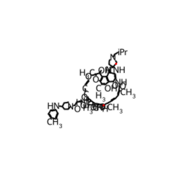 C/C1=C/C=C/C(C)[C@H](O)[C@@H](C)C(O)[C@@H](C)[C@H](OC(=O)CC(=O)N2CCC(Nc3ccc(C)cc3)CC2)CC/C=C/O[C@@]2(C)Oc3c(C)c(O)c4c(c3C2O)C2=NC3(CCN(CC(C)C)CC3)NC2=C(NC1=O)C4=O